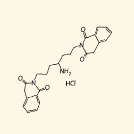 Cl.NC(CCCN1C(=O)Cc2ccccc2C1=O)CCCN1C(=O)Cc2ccccc2C1=O